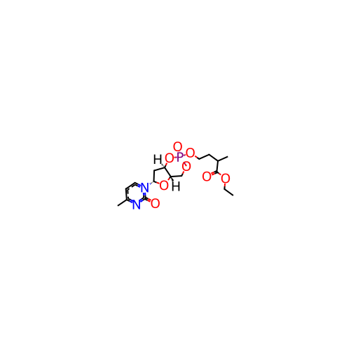 CCOC(=O)C(C)CCOP1(=O)OC[C@@H]2O[C@H](n3ccc(C)nc3=O)C[C@H]2O1